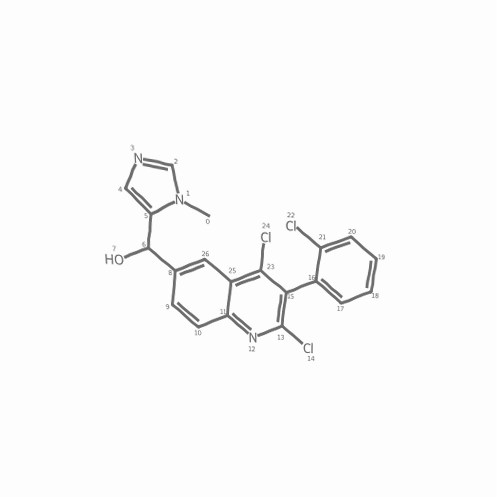 Cn1cncc1C(O)c1ccc2nc(Cl)c(-c3ccccc3Cl)c(Cl)c2c1